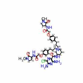 CN1CCC(NC(=O)COc2ccc(CCC[N+]3(CCCc4ccc(OCC(=O)NC5CCN(C)C5=O)cc4)CCC[C@H](NC(=O)c4nc(Cl)c(N)nc4N)C3)cc2)C1=O